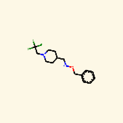 FC(F)(F)CN1CCC(CNOCc2ccccc2)CC1